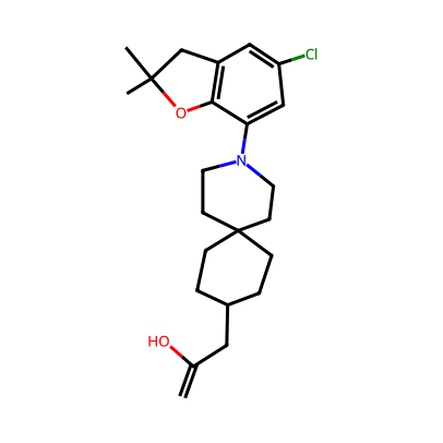 C=C(O)CC1CCC2(CC1)CCN(c1cc(Cl)cc3c1OC(C)(C)C3)CC2